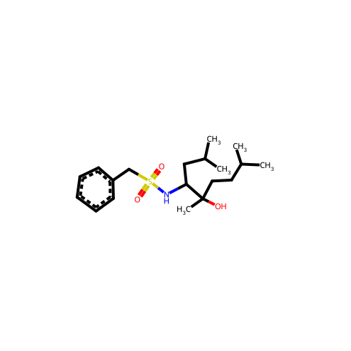 CC(C)CCC(C)(O)C(CC(C)C)NS(=O)(=O)Cc1ccccc1